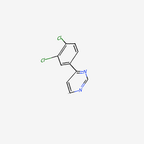 Clc1ccc(-c2c[c]ncn2)cc1Cl